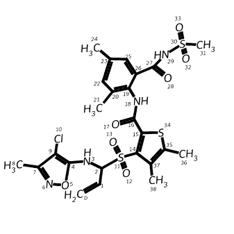 C=CC(Nc1onc(C)c1Cl)S(=O)(=O)c1c(C(=O)Nc2c(C)cc(C)cc2C(=O)NS(C)(=O)=O)sc(C)c1C